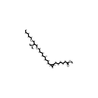 CCCCCOCC(COCCCCCCCCC1CC1CCCCCC(=O)OC)N(C)C